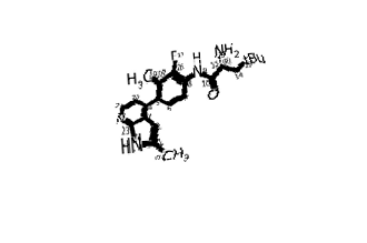 Cc1cc2c(-c3ccc(NC(=O)[C@H](N)CC(C)(C)C)c(F)c3C)ccnc2[nH]1